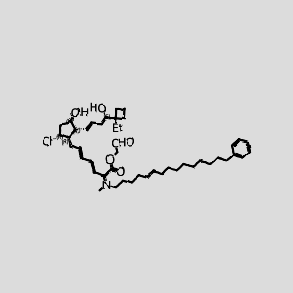 CCC1([C@@H](O)CC=C[C@@H]2[C@@H](CC=CCCC(C(=O)OCC=O)N(C)CCCCCCCCCCCCCCCc3ccccc3)[C@H](Cl)C[C@H]2O)CCC1